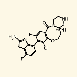 Nc1nc2c(-c3c(F)cc4c(c3Cl)OCC[C@H]3CNCCN3C4=O)ccc(F)c2s1